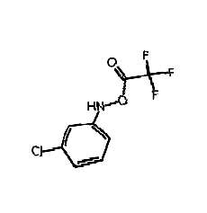 O=C(ONc1cccc(Cl)c1)C(F)(F)F